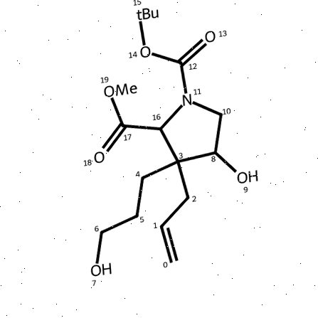 C=CCC1(CCCO)C(O)CN(C(=O)OC(C)(C)C)C1C(=O)OC